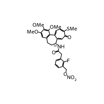 COc1cc2c(c(OC)c1OC)-c1ccc(SC)c(=O)cc1[C@@H](NC(=O)Cc1cccc(CO[N+](=O)[O-])c1F)CC2